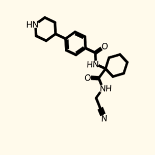 N#CCNC(=O)C1(NC(=O)c2ccc(C3CCNCC3)cc2)CCCCC1